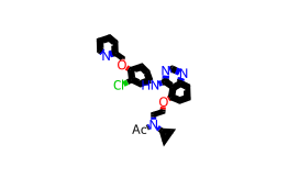 CC(=O)N(CCOc1cccc2ncnc(Nc3ccc(OCc4ccccn4)c(Cl)c3)c12)C1CC1